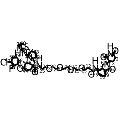 O=C1CCC(N2Cc3c(NC(=O)CCOCCOCCOCCOCCNC(=O)[C@]4(Cc5cccc(Nc6nccs6)n5)CC[C@@H](Oc5cccc(Cl)c5F)CC4)cccc3C2=O)C(=O)N1